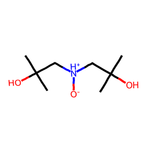 CC(C)(O)C[NH+]([O-])CC(C)(C)O